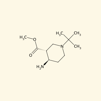 COC(=O)[C@@H]1CN(C(C)(C)C)CC[C@H]1N